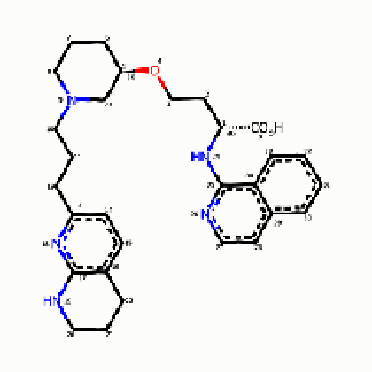 O=C(O)[C@@H](CCO[C@@H]1CCCN(CCCc2ccc3c(n2)NCCC3)C1)Nc1nccc2ccccc12